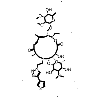 CC[C@H]1OC(=O)C[C@@H](O)[C@H](C)[C@@H](O[C@@H]2O[C@H](C)[C@@H](O)C(N(C)C)C2O)[C@@H](CCn2cc(-c3ccsc3)nn2)C[C@@H](C)C(=O)/C=C/C(C)=C/[C@@H]1CO[C@@H]1OC(C)[C@@H](O)[C@H](OC)C1OC